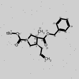 C=CC[C@H]1CN(C(=O)OC(C)(C)C)C[C@@]1(C)C(=O)OCc1ccccc1